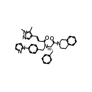 Cc1c(C=CC(=O)N(Cc2ccc(-n3cccn3)cc2)[C@@H](Cc2ccccc2)C(=O)N2CCc3ccccc3C2)cnn1C